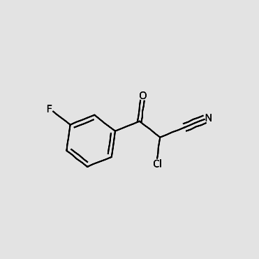 N#CC(Cl)C(=O)c1cccc(F)c1